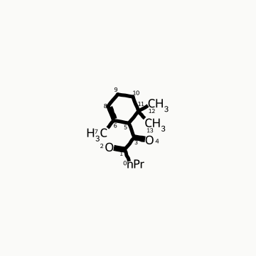 CCCC(=O)C(=O)C1C(C)=CCCC1(C)C